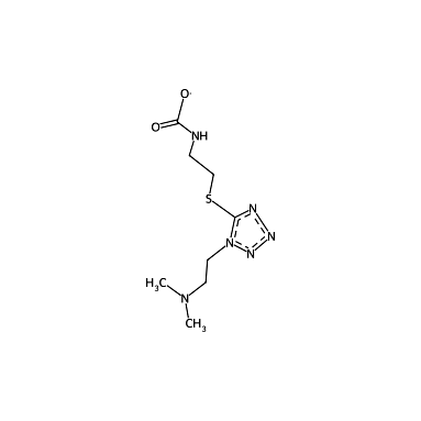 CN(C)CCn1nnnc1SCCNC([O])=O